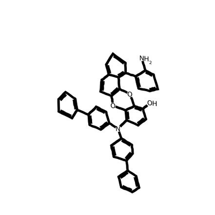 Nc1ccccc1-c1cccc2ccc3c(c12)Oc1c(O)ccc(N(c2ccc(-c4ccccc4)cc2)c2ccc(-c4ccccc4)cc2)c1O3